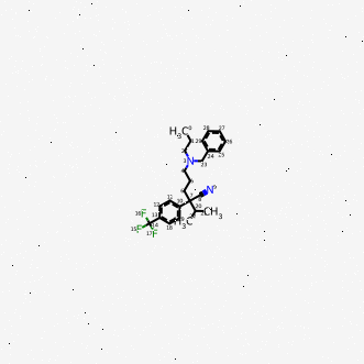 CCCN(CCCC(C#N)(c1ccc(C(F)(F)F)cc1)C(C)C)Cc1ccccc1